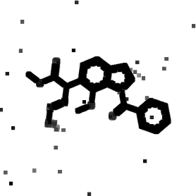 BN=NC(C(=O)OC)c1ccc2ccn(C(=O)c3ccccc3)c2c1OC